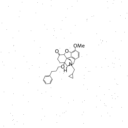 COc1ccc2c3c1OC1C(=O)CC[C@@]4(OCCCc5ccccc5)[C@@H](C2)N(CC2CC2)CC[C@]314